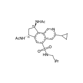 CC(=O)N[C@@H]1C[C@@H](NC(C)=O)c2c1cc(S(=O)(=O)NCC(C)C)c1cc(C3CC3)ncc21